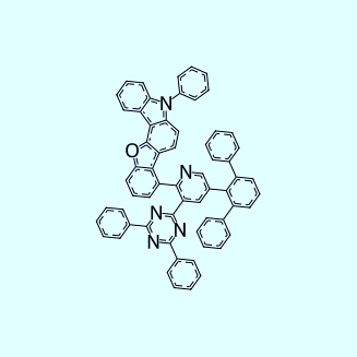 c1ccc(-c2nc(-c3ccccc3)nc(-c3cc(-c4c(-c5ccccc5)cccc4-c4ccccc4)cnc3-c3cccc4oc5c(ccc6c5c5ccccc5n6-c5ccccc5)c34)n2)cc1